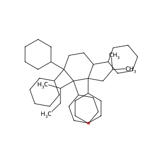 CCC(C)C1(C2CCCCC2)C(CC(C)C)(C2CCCCC2)[C](C2CCCCC2)CCC1(C1CCCCC1)C1CCCCC1